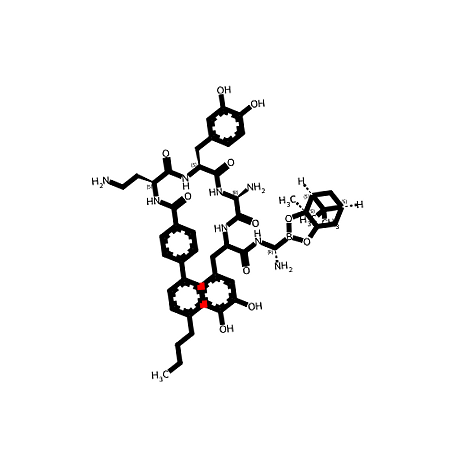 CCCCc1ccc(-c2ccc(C(=O)N[C@@H](CCN)C(=O)N[C@@H](Cc3ccc(O)c(O)c3)C(=O)N[C@@H](N)C(=O)NC(Cc3ccc(O)c(O)c3)C(=O)N[C@@H](N)B3OC4C[C@@H]5C[C@@H](C5(C)C)[C@]4(C)O3)cc2)cc1